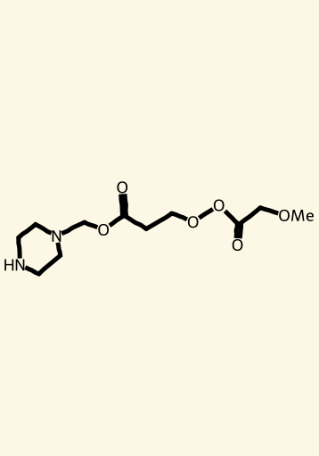 COCC(=O)OOCCC(=O)OCN1CCNCC1